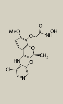 C=C1C=C(Nc2c(Cl)cncc2Cl)c2ccc(OC)c(OCC(=O)NO)c2O1